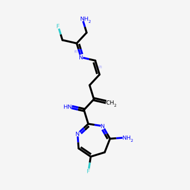 C=C(C/C=C\N=C(/CN)CF)C(=N)C1=NC=C(F)CC(N)=N1